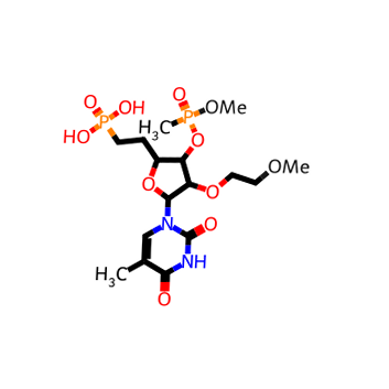 COCCOC1C(OP(C)(=O)OC)C(CCP(=O)(O)O)OC1n1cc(C)c(=O)[nH]c1=O